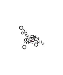 N#C[C@@]1(c2ccc3c(N)ncnn23)O[C@H](COC(=O)Cc2ccccc2)[C@@H](OC(=O)Cc2ccccc2)[C@H]1OC(=O)Cc1ccccc1